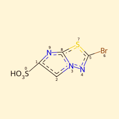 O=S(=O)(O)c1cn2nc(Br)sc2n1